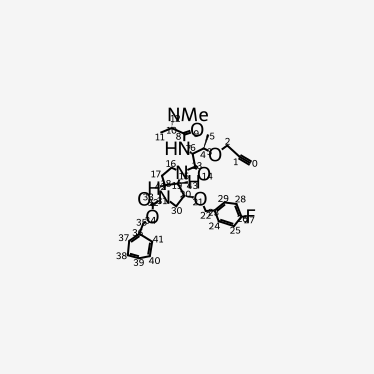 C#CCO[C@H](C)[C@H](NC(=O)[C@H](C)NC)C(=O)N1CC[C@@H]2[C@H]1[C@@H](OCc1ccc(F)cc1)CN2C(=O)OCc1ccccc1